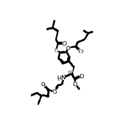 CCC(C)CC(=O)OCCN[C@@H](Cc1ccc(OC(=O)CCC(C)C)c(OC(=O)CCC(C)C)c1)C(=O)OC